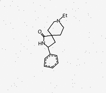 CCN1CCC2(CC1)CC(c1ccccc1)NC2=O